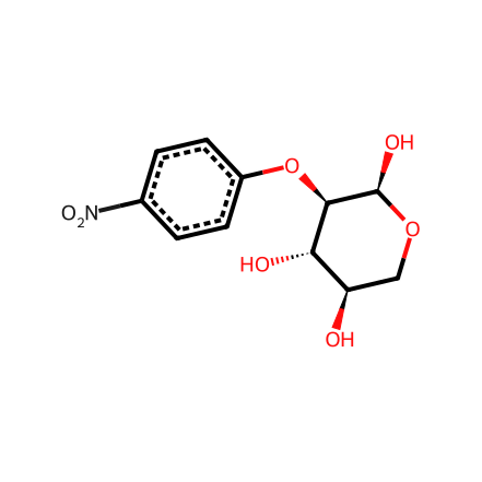 O=[N+]([O-])c1ccc(O[C@@H]2[C@@H](O)[C@H](O)CO[C@@H]2O)cc1